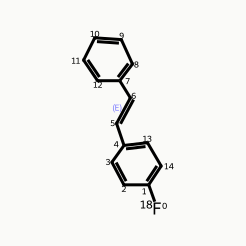 [18F]c1ccc(/C=C/c2ccccc2)cc1